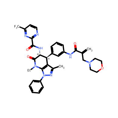 C=C(CN1CCOCC1)C(=O)Nc1cccc([C@H]2c3c(C)nn(-c4ccccc4)c3N(CC)C(=O)[C@@H]2NC(=O)c2nccc(C(F)(F)F)n2)c1